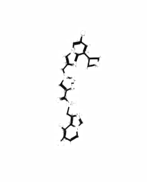 O=C(NCc1ncn2ccc(Cl)c(F)c12)c1cn(Cc2cn3cc(Cl)cc(C4COC4)c3n2)nn1